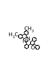 Cc1ccc2c(c1)c1cc(C)ccc1c1nc(-c3ccccc3-c3cc4ccccc4c4c3oc3ccccc34)cnc21